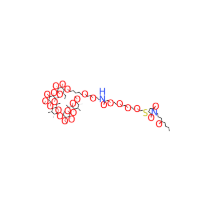 CCCCC(=O)CCCN1C(=O)CC(SCCOCCOCCOCCOCC(=O)NCCOCCOCCCCCO[C@H]2[C@H](OC)[C@@H](OC)[C@@H](O[C@H]3[C@H](OC)[C@@H](OC)[C@H](O[C@H]4[C@H](C)[C@@H](C)[C@@H](O[C@H]5[C@H](OC)[C@@H](OC)[C@H](O[C@H]6[C@H](C)[C@@H](C)[C@@H](OC)O[C@@H]6CC)O[C@H]5C)O[C@@H]4CC)O[C@@H]3C)O[C@@H]2CC)C1=O